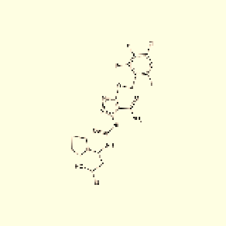 CCC(O)CC(NC(=O)Nc1snc(OCc2c(F)cc(Cl)c(F)c2F)c1C(N)=O)N1CCCC1